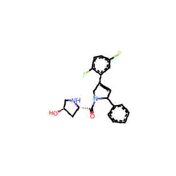 O=C([C@@H]1C[C@@H](O)CN1)N1CC(c2cc(F)ccc2F)=CC1c1ccccc1